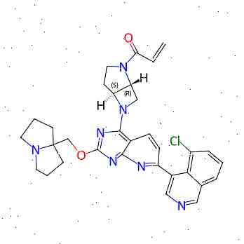 C=CC(=O)N1CC[C@H]2[C@H]1CN2c1nc(OCC23CCCN2CCC3)nc2nc(-c3cncc4cccc(Cl)c34)ccc12